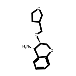 N[C@H]1c2ccccc2OC[C@@H]1OCC1CCOC1